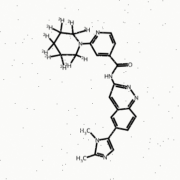 [2H]C1([2H])N(c2cc(C(=O)Nc3cc4cc(-c5cnc(C)n5C)ccc4nn3)ccn2)C([2H])([2H])C([2H])([2H])C([2H])([2H])C1([2H])[2H]